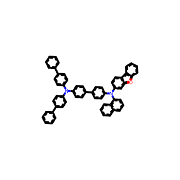 c1ccc(-c2ccc(N(c3ccc(-c4ccccc4)cc3)c3ccc(-c4ccc(N(c5ccc6c(c5)oc5ccccc56)c5cccc6ccccc56)cc4)cc3)cc2)cc1